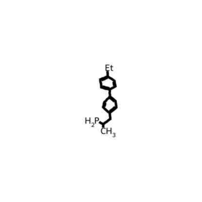 CCc1ccc(-c2ccc(CC(C)P)cc2)cc1